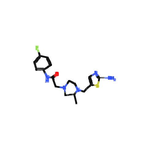 CC1CN(CC(=O)Nc2ccc(F)cc2)CCN1Cc1cnc(N)s1